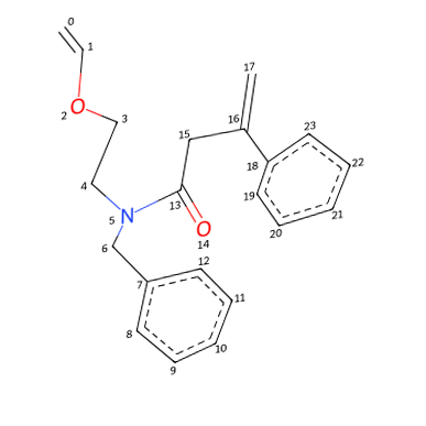 C=COCCN(Cc1ccccc1)C(=O)CC(=C)c1ccccc1